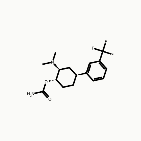 CN(C)[C@H]1C[C@@H](c2cccc(C(F)(F)F)c2)CC[C@@H]1OC(N)=O